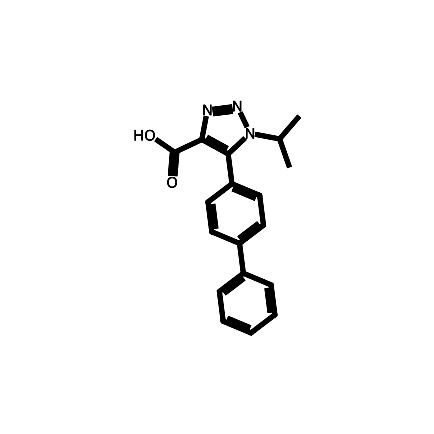 CC(C)n1nnc(C(=O)O)c1-c1ccc(-c2ccccc2)cc1